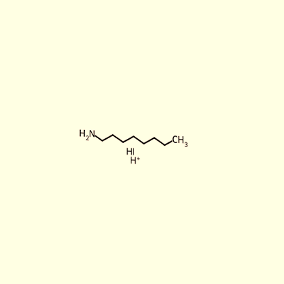 CCCCCCCCN.I.[H+]